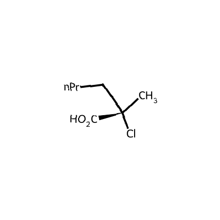 CCCC[C@](C)(Cl)C(=O)O